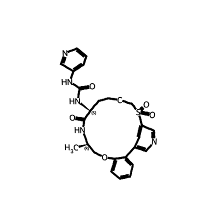 C[C@@H]1COc2ccccc2-c2cncc(c2)S(=O)(=O)CCCC[C@H](NC(=O)Nc2cccnc2)C(=O)N1